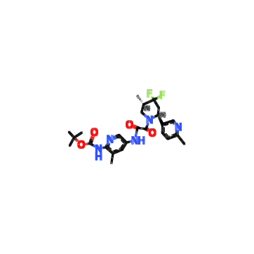 Cc1ccc([C@@H]2CC(F)(F)[C@@H](C)CN2C(=O)C(=O)Nc2cnc(NC(=O)OC(C)(C)C)c(C)c2)cn1